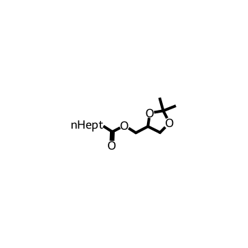 CCCCCCCC(=O)OCC1COC(C)(C)O1